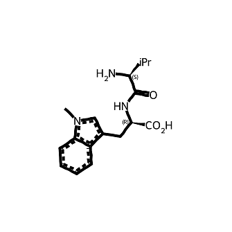 CC(C)[C@H](N)C(=O)N[C@H](Cc1cn(C)c2ccccc12)C(=O)O